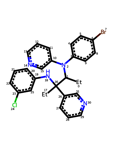 CCC(N(c1ccc(Br)cc1)c1cccnc1)C(CC)(Nc1cccc(Cl)c1)c1cccnc1